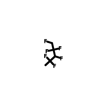 CC(F)(F)C(F)C(F)(F)CF